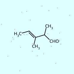 C/C=C(\C)C(C)[C]=O